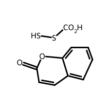 O=C(O)SS.O=c1ccc2ccccc2o1